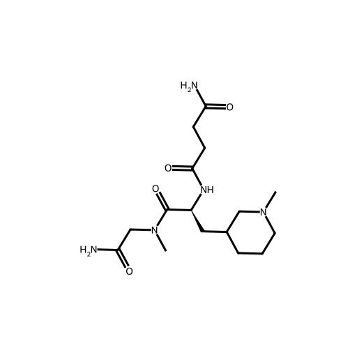 CN1CCCC(C[C@H](NC(=O)CCC(N)=O)C(=O)N(C)CC(N)=O)C1